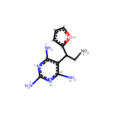 Nc1nc(N)c(C(C[N+](=O)[O-])c2ccco2)c(N)n1